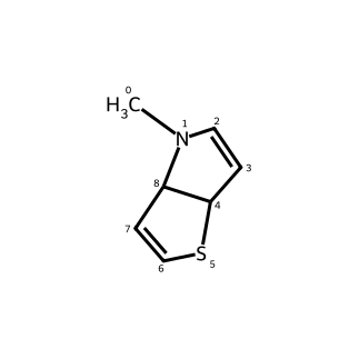 CN1C=CC2SC=CC21